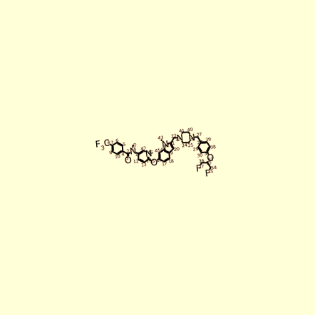 CN(C(=O)c1ccc(C(F)(F)F)cc1)c1ccc(Oc2ccc3cc(CN4CCN(Cc5ccc(OC(CF)CF)cc5)CC4)n(C)c3c2)nc1